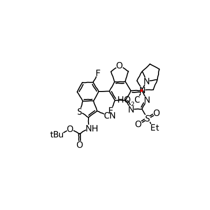 CCS(=O)(=O)c1nc(N2C3CCC2CN(C(=O)O)C3)c2c3c(c(-c4c(F)ccc5sc(NC(=O)OC(C)(C)C)c(C#N)c45)c(F)c2n1)COC3